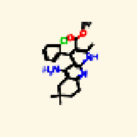 CC1=C(C(=O)OC(C)C)C(c2ccccc2Cl)c2c(nc3c(c2N)CC(C)(C)CC3)N1